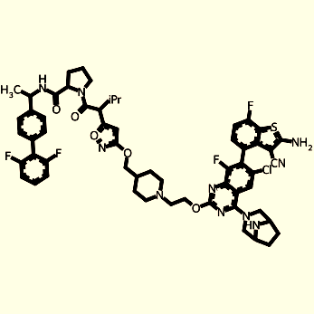 CC(NC(=O)C1CCCN1C(=O)C(c1cc(OCC2CCN(CCOc3nc(N4CC5CCC(C4)N5)c4cc(Cl)c(-c5ccc(F)c6sc(N)c(C#N)c56)c(F)c4n3)CC2)no1)C(C)C)c1ccc(-c2c(F)cccc2F)cc1